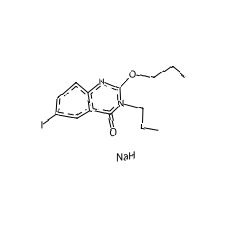 CCCOc1nc2ccc(I)cc2c(=O)n1CCC.[NaH]